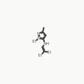 CCC(=CNc1cc(C)nn1CC)CC